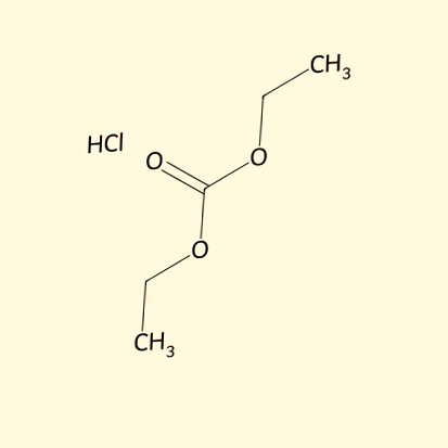 CCOC(=O)OCC.Cl